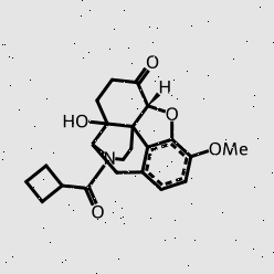 COc1ccc2c3c1O[C@H]1C(=O)CCC4(O)C(C2)N(C(=O)C2CCC2)CCC314